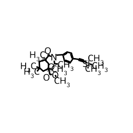 COC(=O)[C@]1(C)CC(C)(C)C[C@@](C)(C(=O)N(Cc2ccc(C#C[Si](C)(C)C)cc2)C(C)=O)C1